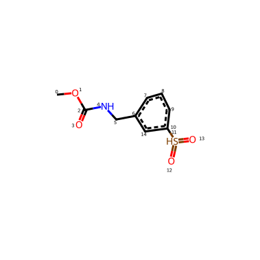 COC(=O)NCc1cccc([SH](=O)=O)c1